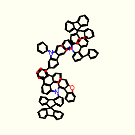 c1ccc(-c2ccccc2-c2c(-c3ccccc3)cccc2N(c2ccc3c(c2)-c2ccccc2C32c3ccccc3-c3ccccc32)c2ccc3c(c2)c2ccc(-c4cccc(-c5cccc(N(c6cccc7c6-c6ccccc6C76c7ccccc7-c7ccccc76)c6cccc7oc8ccccc8c67)c5-c5ccccc5-c5ccccc5)c4)cc2n3-c2ccccc2)cc1